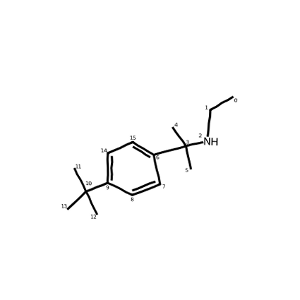 CCNC(C)(C)c1ccc(C(C)(C)C)cc1